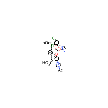 C=C.CC(=O)N1CCN(c2ccc(OC[C@H]3CO[C@](Cn4ccnc4)(c4ccc(Cl)cc4Cl)O3)cc2)CC1.CCCCCCCCC=CCCCCCCCC(=O)O